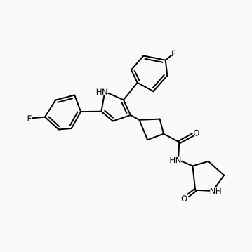 O=C(NC1CCNC1=O)C1CC(c2cc(-c3ccc(F)cc3)[nH]c2-c2ccc(F)cc2)C1